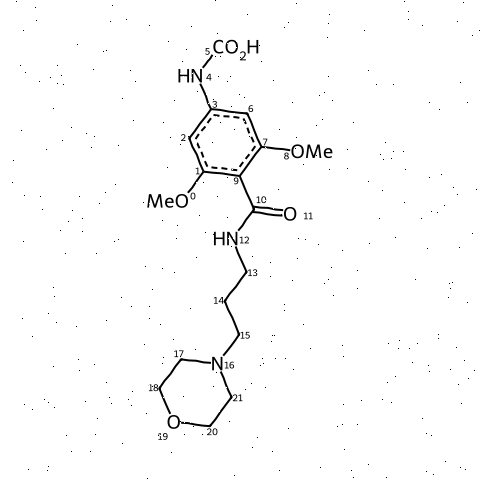 COc1cc(NC(=O)O)cc(OC)c1C(=O)NCCCN1CCOCC1